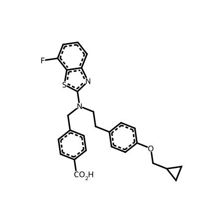 O=C(O)c1ccc(CN(CCc2ccc(OCC3CC3)cc2)c2nc3cccc(F)c3s2)cc1